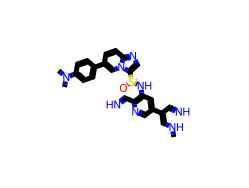 CN/C=C(\C=N)c1cnc(C=N)c(N[S+]([O-])c2cnc3ccc(-c4ccc(N(C)C)cc4)cn23)c1